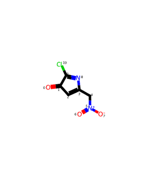 O=C1C=C(C[N+](=O)[O-])N=C1Cl